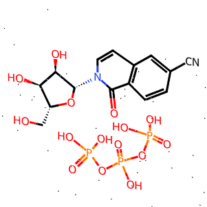 N#Cc1ccc2c(=O)n([C@@H]3O[C@H](CO)[C@@H](O)[C@H]3O)ccc2c1.O=P(O)(O)OP(=O)(O)OP(=O)(O)O